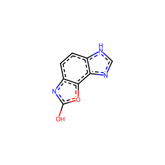 Oc1nc2ccc3[nH]cnc3c2o1